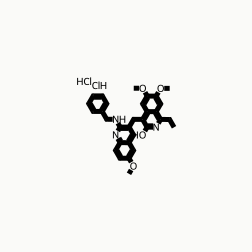 CCc1nc(O)c(Cc2cc3cc(OC)ccc3nc2NCc2ccccc2)c2cc(OC)c(OC)cc12.Cl.Cl